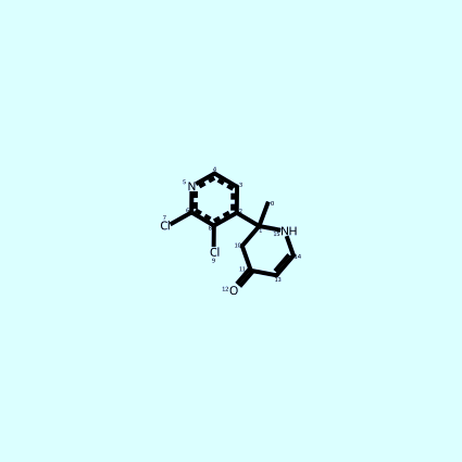 CC1(c2ccnc(Cl)c2Cl)CC(=O)C=CN1